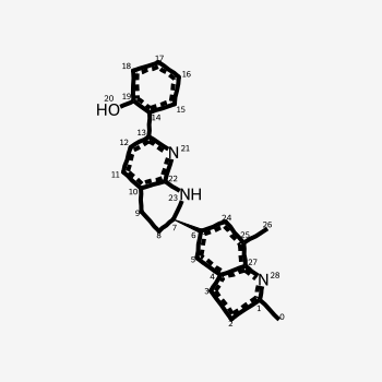 Cc1ccc2cc([C@H]3CCc4ccc(-c5ccccc5O)nc4N3)cc(C)c2n1